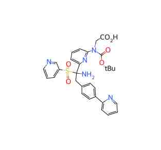 CC(C)(C)OC(=O)N(CC(=O)O)c1cccc(C(N)(Cc2ccc(-c3ccccn3)cc2)S(=O)(=O)c2cccnc2)n1